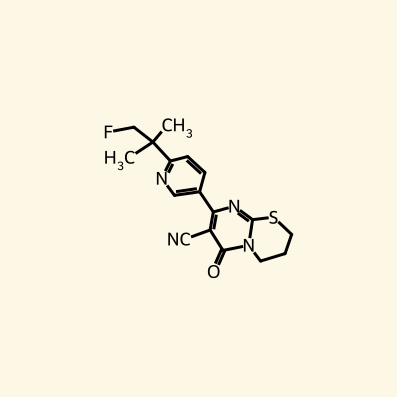 CC(C)(CF)c1ccc(-c2nc3n(c(=O)c2C#N)CCCS3)cn1